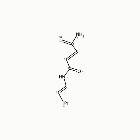 CC(C)/C=C/NC(=O)/C=C/C(N)=O